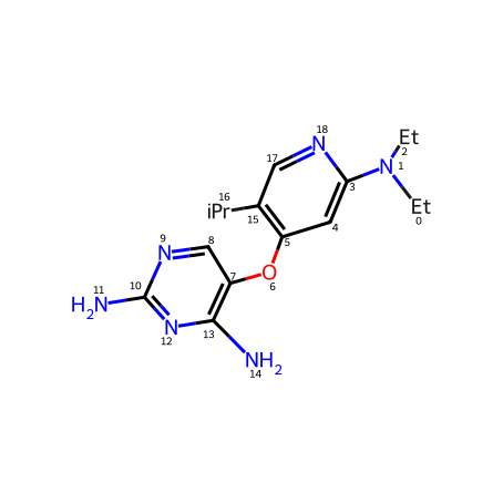 CCN(CC)c1cc(Oc2cnc(N)nc2N)c(C(C)C)cn1